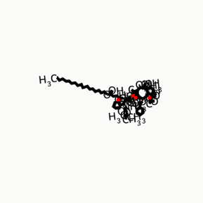 CCCCCCCCCCCCCCCCCCOC(=O)CCC(=O)O[C@@H](C(=O)O[C@H]1C[C@@]2(O)[C@@H](OC(=O)c3ccccc3)C[C@@H]3[C@]4(OC(C)=O)CO[C@@H]4C[C@H](O)[C@@]3(C)C(=O)[C@H](O)C(=C1C)C2(C)C)[C@@H](NC(=O)OC(C)(C)C)c1ccccc1